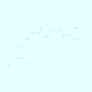 O=C(C=Cc1ccc(O)c(O)c1)c1ccc(NC(=O)c2ccccc2)cc1